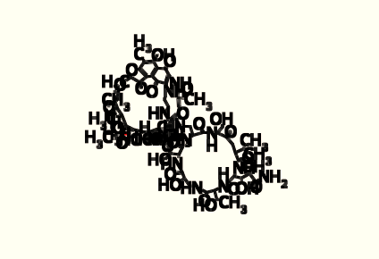 CO[C@H]1/C=C/O[C@@]2(C)Oc3c(C)c(O)c4c(c3C2=O)C(=O)C(NCCNC(C)C(=O)NCC2NC(=O)C(C(=O)O)NC(=O)C(O)CNC(=O)C(C(C)O)NC(=O)C(C(O)C(O)C(N)=O)NC(=O)C(C(C)C)CC(=O)C(CO)NC2=O)=C(NC(=O)/C(C)=C\C=C\[C@H](C)[C@H](O)[C@@H](C)[C@@H](O)[C@@H](C)[C@H](OC(C)=O)[C@@H]1C)C4=O